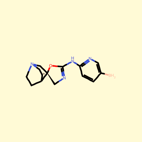 Bc1ccc(NC2=NC[C@@]3(CN4CCC3CC4)O2)nc1